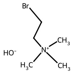 C[N+](C)(C)CCBr.[OH-]